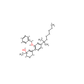 CCCCCCC(C)(C)c1ccc(C2=CC(C)(O)CCC2)c(OCc2ccccc2)c1